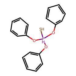 S[PH](Oc1ccccc1)(Oc1ccccc1)Oc1ccccc1